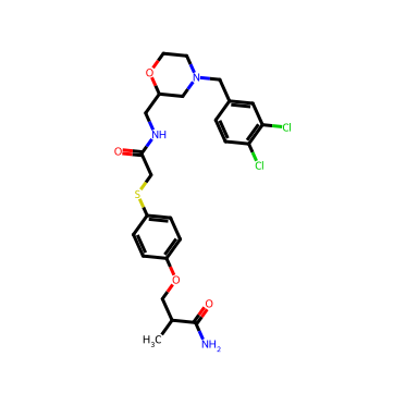 CC(COc1ccc(SCC(=O)NCC2CN(Cc3ccc(Cl)c(Cl)c3)CCO2)cc1)C(N)=O